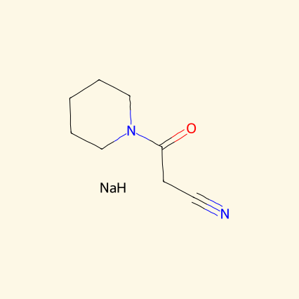 N#CCC(=O)N1CCCCC1.[NaH]